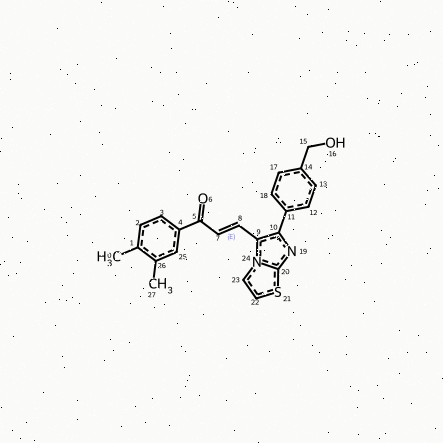 Cc1ccc(C(=O)/C=C/c2c(-c3ccc(CO)cc3)nc3sccn23)cc1C